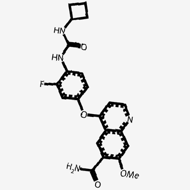 COc1cc2nccc(Oc3ccc(NC(=O)NC4CCC4)c(F)c3)c2cc1C(N)=O